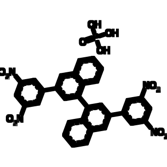 O=P(O)(O)O.O=[N+]([O-])c1cc(-c2cc(-c3cc(-c4cc([N+](=O)[O-])cc([N+](=O)[O-])c4)cc4ccccc34)c3ccccc3c2)cc([N+](=O)[O-])c1